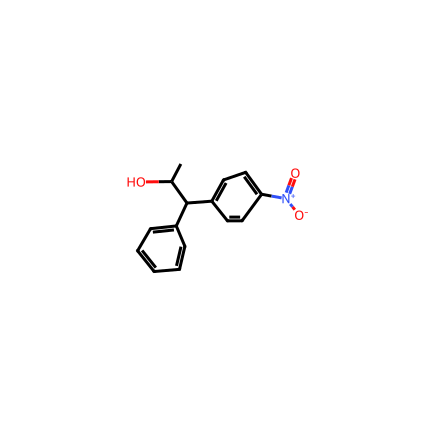 CC(O)C(c1ccccc1)c1ccc([N+](=O)[O-])cc1